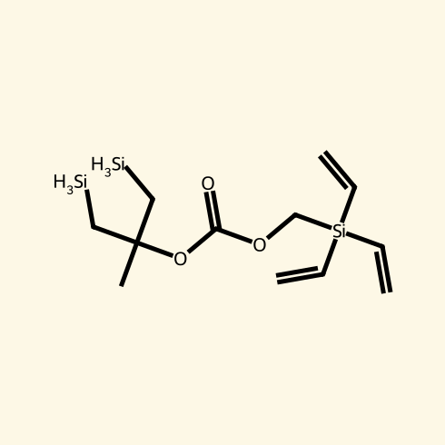 C=C[Si](C=C)(C=C)COC(=O)OC(C)(C[SiH3])C[SiH3]